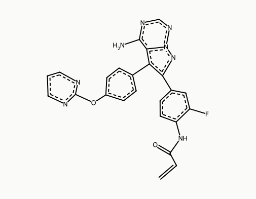 C=CC(=O)Nc1ccc(-c2nn3ncnc(N)c3c2-c2ccc(Oc3ncccn3)cc2)cc1F